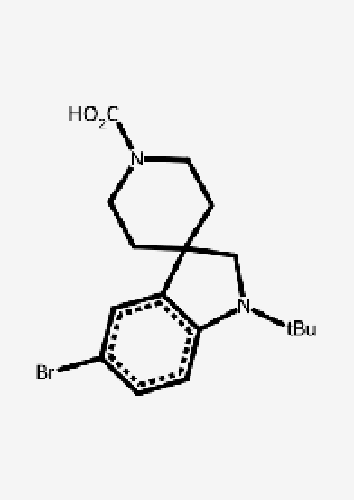 CC(C)(C)N1CC2(CCN(C(=O)O)CC2)c2cc(Br)ccc21